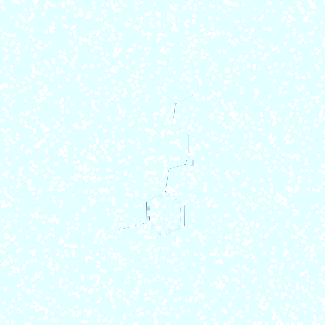 CC(C)C[C@H](C)NCc1cccc(Cl)c1